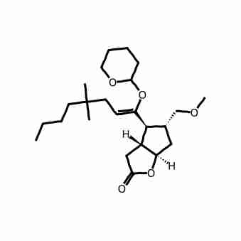 CCCCC(C)(C)CC=C(OC1CCCCO1)[C@H]1[C@H](COC)C[C@H]2OC(=O)C[C@H]12